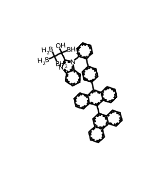 BC(B)(B)C(B)(O)c1nc2ccccc2n1-c1ccccc1-c1ccc(-c2c3ccccc3c(-c3cc4ccccc4c4ccccc34)c3ccccc23)cc1